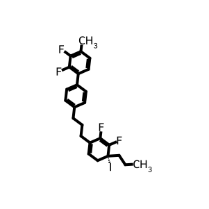 CCC[C@@]1(I)CC=C(CCCc2ccc(-c3ccc(C)c(F)c3F)cc2)C(F)=C1F